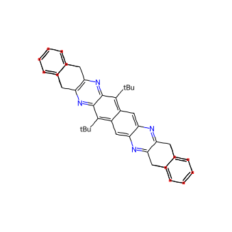 CC(C)(C)c1c2cc3nc4c(nc3cc2c(C(C)(C)C)c2nc3c(nc12)C1c2ccccc2C3c2ccccc21)C1c2ccccc2C4c2ccccc21